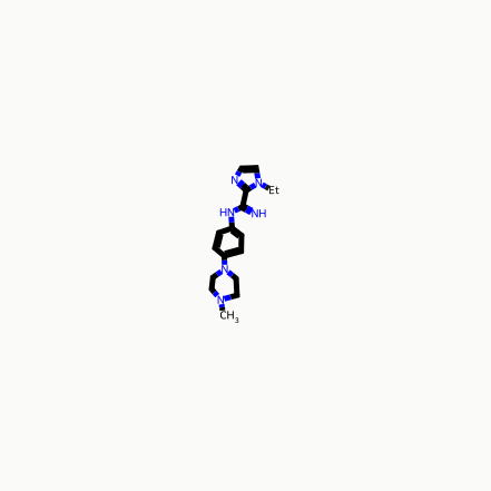 CCn1ccnc1C(=N)Nc1ccc(N2CCN(C)CC2)cc1